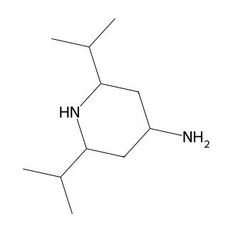 CC(C)C1CC(N)CC(C(C)C)N1